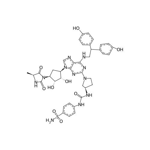 C[C@@H]1NC(=O)N([C@H]2C[C@@H](n3cnc4c(NCC(c5ccc(O)cc5)c5ccc(O)cc5)nc(N5CC[C@@H](NC(=O)Nc6ccc(S(N)(=O)=O)cc6)C5)nc43)[C@H](O)[C@@H]2O)C1=O